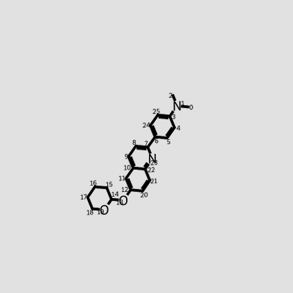 CN(C)c1ccc(-c2ccc3cc(OC4CCCCO4)ccc3n2)cc1